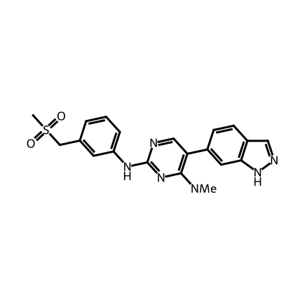 CNc1nc(Nc2cccc(CS(C)(=O)=O)c2)ncc1-c1ccc2cn[nH]c2c1